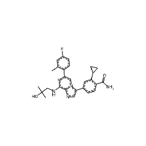 Cc1cc(F)ccc1-c1cn2c(-c3ccc(C(N)=O)c(C4CC4)c3)cnc2c(NCC(C)(C)O)n1